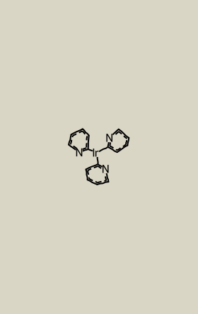 c1cc[c]([Ir]([c]2ccccn2)[c]2ccccn2)nc1